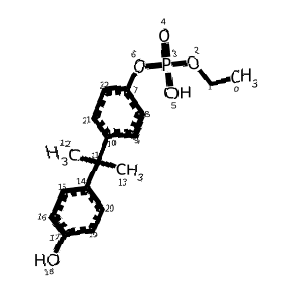 CCOP(=O)(O)Oc1ccc(C(C)(C)c2ccc(O)cc2)cc1